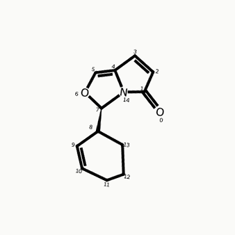 O=C1C=CC2=CO[C@H](C3C=CCCC3)N12